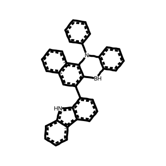 B1c2ccccc2N(c2ccccc2)c2c1c(-c1cccc3c1[nH]c1ccccc13)cc1ccccc21